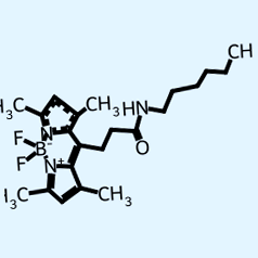 CCCCCCNC(=O)CCC1=C2C(C)=CC(C)=[N+]2[B-](F)(F)n2c(C)cc(C)c21